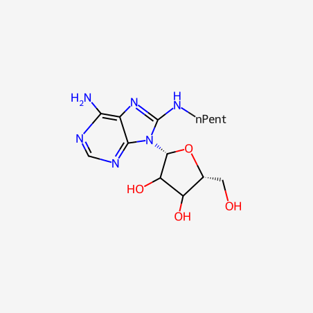 CCCCCNc1nc2c(N)ncnc2n1[C@@H]1O[C@H](CO)C(O)C1O